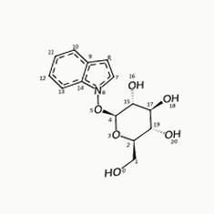 OC[C@H]1O[C@@H](On2c[c]c3ccccc32)[C@H](O)[C@@H](O)[C@@H]1O